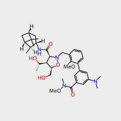 COc1c(CN2O[C@@H](CO)[C@@H]([C@H](C)O)[C@H]2C(=O)N[C@H]2C[C@H]3C[C@@H]([C@@H]2C)C3(C)C)cccc1-c1cc(C(=O)N(C)OC)cc(N(C)C)c1